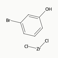 Oc1cccc(Br)c1.[Cl][Zr][Cl]